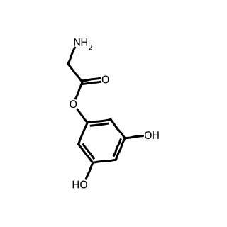 NCC(=O)Oc1cc(O)cc(O)c1